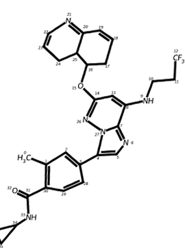 Cc1cc(-c2cnc3c(NCCC(F)(F)F)cc(OC4CC=CC5=NC=CCC54)nn23)ccc1C(=O)NC1CC1